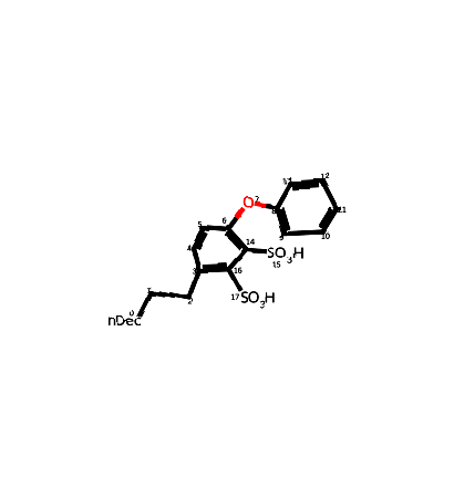 CCCCCCCCCCCCc1ccc(Oc2ccccc2)c(S(=O)(=O)O)c1S(=O)(=O)O